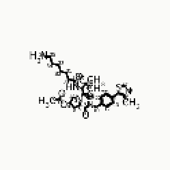 CC(=O)O[C@@H]1C[C@@H](C(=O)NCc2ccc(-c3scnc3C)cc2)N(C(=O)[C@@H](NC(=O)CCCCCCN)C(C)(C)C)C1